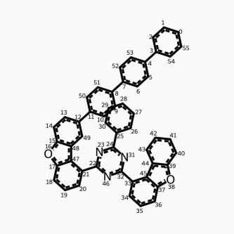 c1ccc(-c2ccc(-c3ccc(-c4ccc5oc6cccc(-c7nc(-c8ccccc8)nc(-c8cccc9oc%10ccccc%10c89)n7)c6c5c4)cc3)cc2)cc1